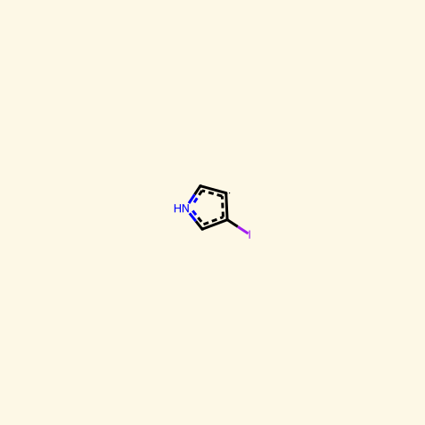 Ic1[c]c[nH]c1